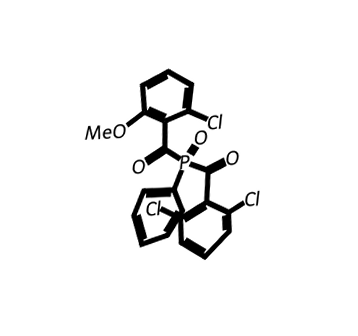 COc1cccc(Cl)c1C(=O)P(=O)(C(=O)c1c(Cl)cccc1Cl)c1ccccc1